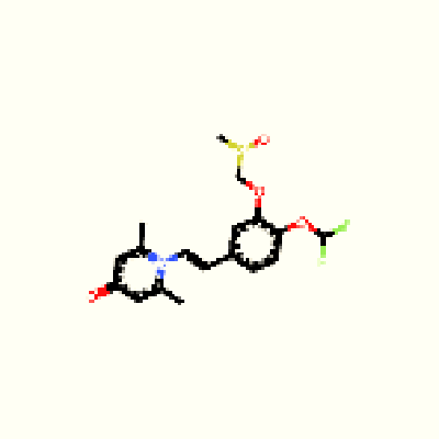 Cc1cc(=O)cc(C)n1C=Cc1ccc(OC(F)F)c(OC[S+](C)[O-])c1